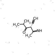 C#C[C@H](C(C)=N)C(=O)C(C)C